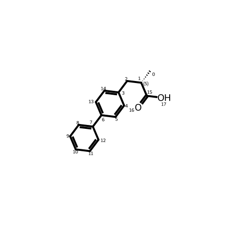 C[C@@H](Cc1ccc(-c2ccccc2)cc1)C(=O)O